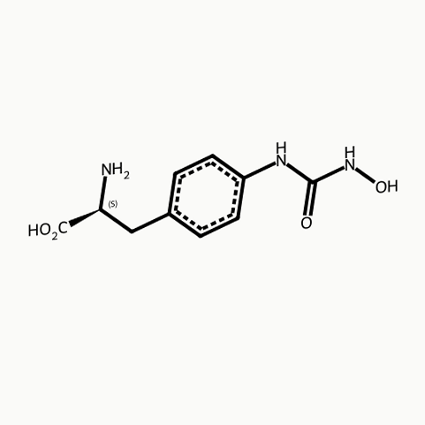 N[C@@H](Cc1ccc(NC(=O)NO)cc1)C(=O)O